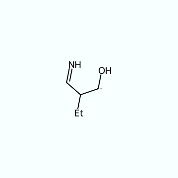 CCC([CH]O)C=N